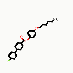 CCCCCCOc1ccc(OC(=O)c2ccc(-c3ccc(F)cc3)cc2)cc1